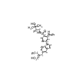 CC(C)CN(Cc1cnc2c(ccn2-c2cc(NC(C)C)c(C(=O)NCC(F)C(C)(C)O)cn2)c1)C(=O)O